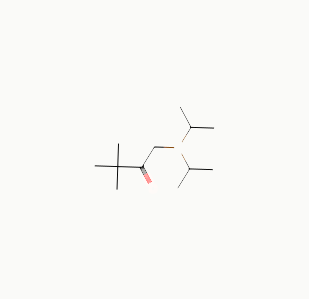 CC(C)[S+](CC(=O)C(C)(C)C)C(C)C